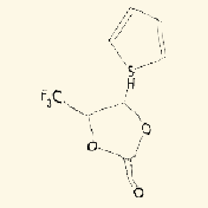 O=C1OC([SH]2C=CC=C2)C(C(F)(F)F)O1